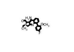 CCN1Cc2nc3c(-c4ccc(F)cc4OC)cccc3c(N)c2C1C=O